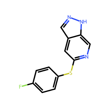 Fc1ccc(Sc2cc3cn[nH]c3cn2)cc1